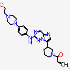 C=CC(=O)N1CCCC(c2cnc3cnc(Nc4ccc(N5CCN(CCO)CC5)cc4)nn23)C1